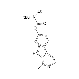 CCN(C(=O)Oc1ccc2c(c1)[nH]c1c(C)nccc12)C(C)(C)C